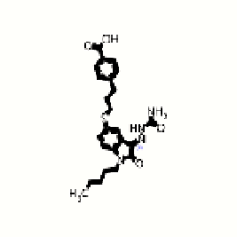 CCCCCN1C(=O)/C(=N/NC(N)=O)c2cc(SCCCc3ccc(C(=O)O)cc3)ccc21